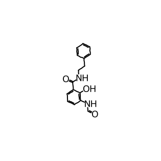 O=CNc1cccc(C(=O)NCCc2ccccc2)c1O